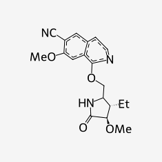 CC[C@H]1C(COc2nccc3cc(C#N)c(OC)cc23)NC(=O)[C@@H]1OC